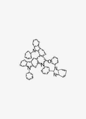 O=c1c2ccc3c4ccccc4n(-c4ccccc4)c3c2c2cc3c4ccccc4n(-c4ccccc4)c3cc2n1-c1cccc(C2N=C3C=CC=CC3N2c2ccccc2)c1